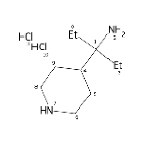 CCC(N)(CC)C1CCNCC1.Cl.Cl